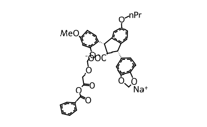 CCCOc1ccc2c(c1)[C@@H](c1ccc(OC)cc1OCOCC(=O)OC(=O)c1ccccc1)[C@H](C(=O)[O-])[C@H]2c1ccc2c(c1)OCO2.[Na+]